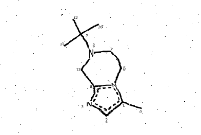 Cc1cnc2n1CCN(C(C)(C)C)C2